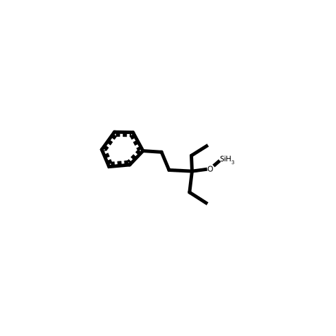 CCC(CC)(CCc1ccccc1)O[SiH3]